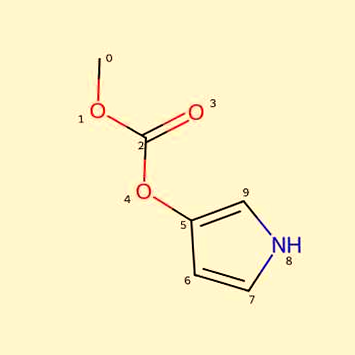 COC(=O)Oc1cc[nH]c1